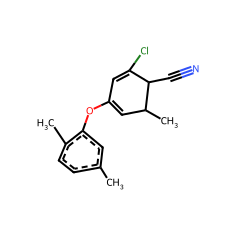 Cc1ccc(C)c(OC2=CC(C)C(C#N)C(Cl)=C2)c1